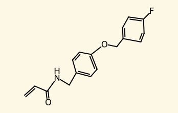 C=CC(=O)NCc1ccc(OCc2ccc(F)cc2)cc1